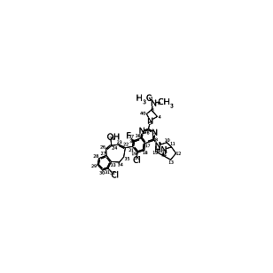 CN(C)C1CN(c2nc(N3CC4CCC(C3)N4)c3cc(Cl)c(/C4=C/C(O)=C\c5cccc(Cl)c5CC4)c(F)c3n2)C1